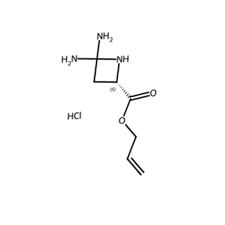 C=CCOC(=O)[C@@H]1CC(N)(N)N1.Cl